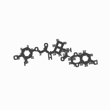 O=C(COc1ccc(Cl)c(F)c1)NC1CC2(NC(=O)[C@H]3COc4cc(Cl)ccc4O3)CCC12